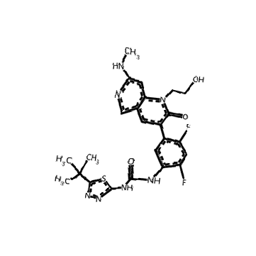 CNc1cc2c(cn1)cc(-c1cc(NC(=O)Nc3nnc(C(C)(C)C)s3)c(F)cc1F)c(=O)n2CCO